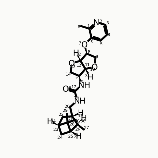 Cc1ncccc1O[C@H]1CO[C@H]2[C@@H]1OC[C@@H]2NC(=O)NC[C@H]1C[C@H]2C[C@@H]([C@@H]1C)C2(C)C